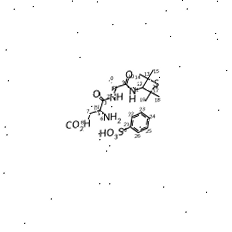 C[C@@H](NC(=O)[C@@H](N)CC(=O)O)C(=O)NC1C(C)(C)SC1(C)C.O=S(=O)(O)c1ccccc1